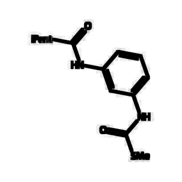 CCCC(C)C(=O)Nc1cccc(NC(=O)SC)c1